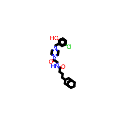 O=C(CCCC1CC2CCCC(C1)C2)NCC(=O)N1CCN(Cc2cc(Cl)ccc2O)CC1